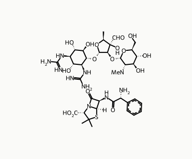 CC1(C)S[C@@H]2[C@H](NC(=O)[C@H](N)c3ccccc3)C(=O)N2[C@H]1C(=O)O.CN[C@@H]1[C@H](O[C@H]2[C@H](O[C@H]3[C@H](O)[C@@H](O)[C@H](NC(=N)N)[C@@H](O)[C@@H]3NC(=N)N)O[C@@H](C)[C@]2(O)C=O)O[C@@H](CO)[C@H](O)[C@H]1O